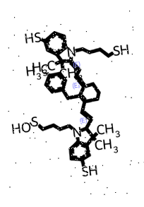 Cc1ccc(CC2=C(/C=C/C3N(CCCCSO)c4ccc(S)cc4C3(C)C)CCC/C2=C\C=C2\N(CCCCS)c3ccc(S)cc3C2(C)C)cc1